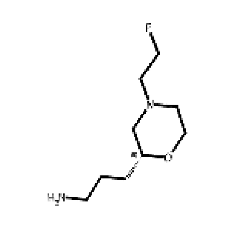 NCCC[C@@H]1CN(CCF)CCO1